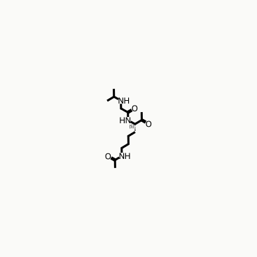 CC(=O)NCCCC[C@H](NC(=O)CNC(C)C)C(C)=O